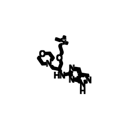 C[Si](C)(C)CCOCC(CN1CCOCC1)Nc1ncc2cn[nH]c2n1